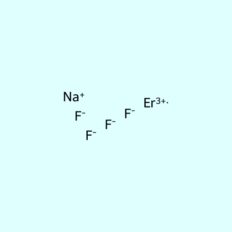 [Er+3].[F-].[F-].[F-].[F-].[Na+]